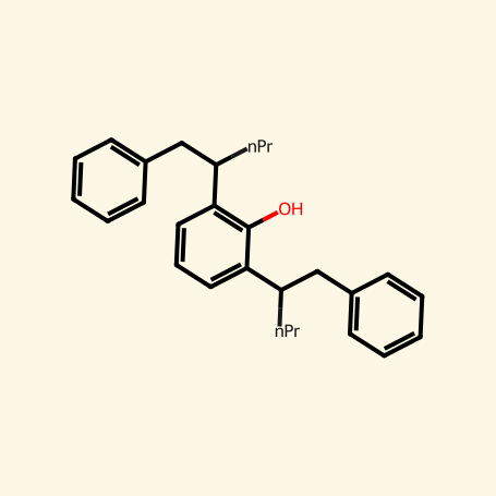 CCCC(Cc1ccccc1)c1cccc(C(CCC)Cc2ccccc2)c1O